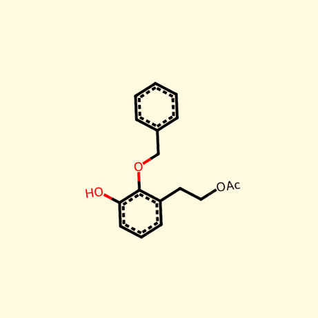 CC(=O)OCCc1cccc(O)c1OCc1ccccc1